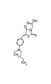 CCCCN(CC)c1ccc(/C=C2\SC(=S)N(CC(=O)O)C2=O)cc1